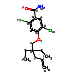 C=CCC(CC)(CC)COc1cc(F)c(C(N)=O)cc1Cl